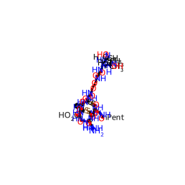 CCCCCC(=O)NCCCC[C@@H]1NC(=O)CSC[C@@H](C(=O)NCC(=O)NCCOCCOCCNC(=O)CCC(=O)NCCN(CCNC(C)(C)/C(C)=N\O)CCNC(C)(C)/C(C)=N\O)NC(=O)[C@H](Cc2ccccc2)NC(=O)[C@@H]2CSSC[C@H](NC1=O)C(=O)N[C@@H](CCCNC(=N)N)C(=O)NCC(=O)N[C@@H](CC(=O)O)C(=O)N2